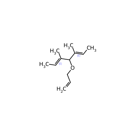 C=CCOC(/C(C)=C/C)/C(C)=C/C